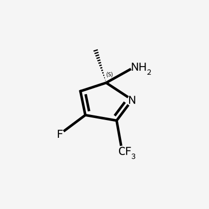 C[C@@]1(N)C=C(F)C(C(F)(F)F)=N1